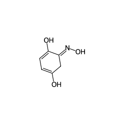 ON=C1CC(O)=CC=C1O